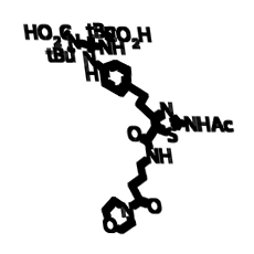 CC(=O)Nc1nc(CCc2ccc(NC(NC(=O)O)(N(C(=O)O)C(C)(C)C)C(C)(C)C)cc2)c(C(=O)NCCCC(=O)N2CCOCC2)s1